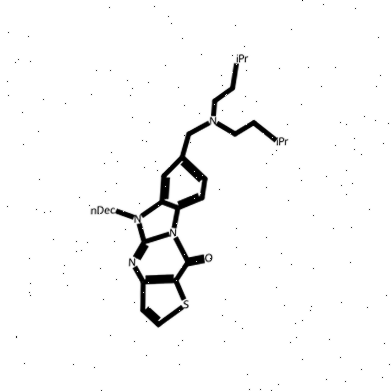 CCCCCCCCCCn1c2cc(CN(CCC(C)C)CCC(C)C)ccc2n2c(=O)c3sccc3nc12